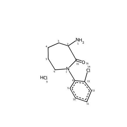 Cl.NC1CCCCN(c2ccccc2Cl)C1=O